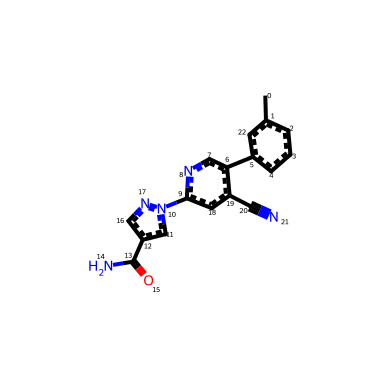 Cc1cccc(-c2cnc(-n3cc(C(N)=O)cn3)cc2C#N)c1